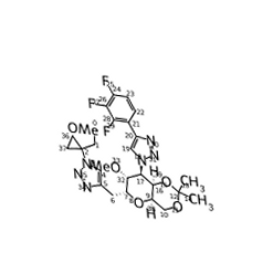 COCC1(n2cc(C[C@H]3O[C@@H]4COC(C)(C)O[C@@H]4[C@H](n4cc(-c5ccc(F)c(F)c5F)nn4)[C@H]3OC)nn2)CC1